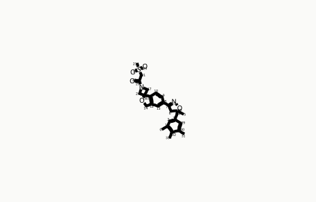 Cc1cc(C2(C)CC(c3ccc4c(c3)COC43CN(C(=O)CS(C)(=O)=O)C3)=NO2)cc(C)c1C